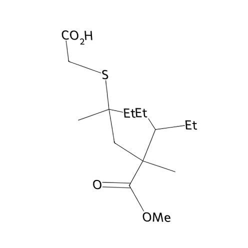 CCC(CC)C(C)(CC(C)(CC)SCC(=O)O)C(=O)OC